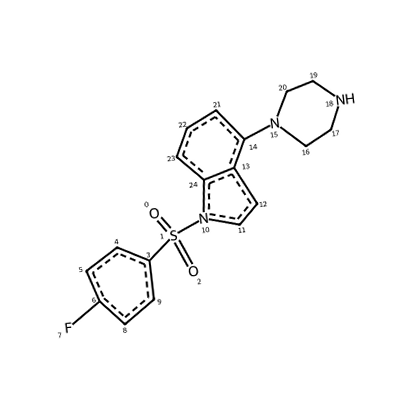 O=S(=O)(c1ccc(F)cc1)n1ccc2c(N3CCNCC3)cccc21